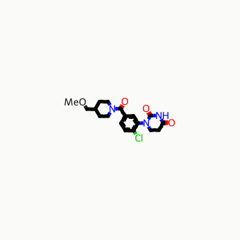 COCC1CCN(C(=O)c2ccc(Cl)c(N3CCC(=O)NC3=O)c2)CC1